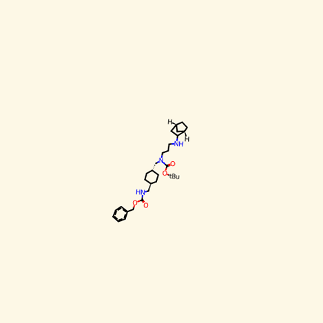 CC(C)(C)OC(=O)N(CCCNC1C[C@@H]2CC[C@H]1C2)C[C@H]1CC[C@H](CNC(=O)OCc2ccccc2)CC1